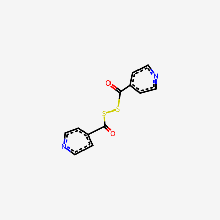 O=C(SSC(=O)c1ccncc1)c1ccncc1